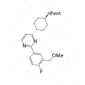 CCCCC[C@H]1CC[C@H](c2ccnc(-c3ccc(F)c(COC)c3)n2)CC1